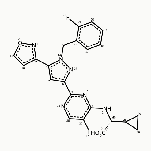 O=C(O)[C@H](Nc1nc(-c2cc(-c3ccon3)n(Cc3ccccc3F)n2)ncc1F)C1CC1